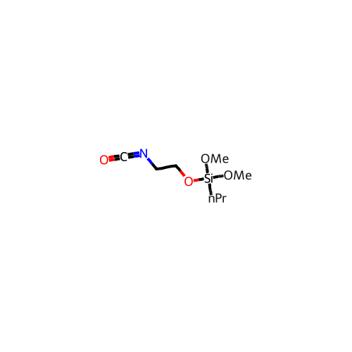 CCC[Si](OC)(OC)OCCN=C=O